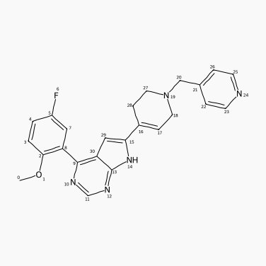 COc1ccc(F)cc1-c1ncnc2[nH]c(C3=CCN(Cc4ccncc4)CC3)cc12